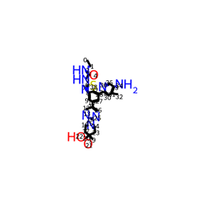 CCNC(=O)Nc1nc2cc(-c3cnc(N4CCC(C)(C(=O)O)CC4)nc3)cc(-c3cc(C)c(N)cn3)c2s1